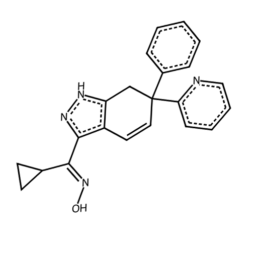 ON=C(c1n[nH]c2c1C=CC(c1ccccc1)(c1ccccn1)C2)C1CC1